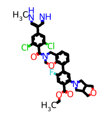 CCOC(=O)c1cc(F)c(-c2cccc3c2OCN(C(=O)c2c(Cl)cc(/C(C=N)=C/NC)cc2Cl)C3)cc1N1CC2COCC2C1